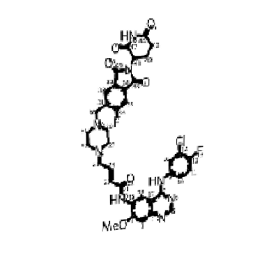 COc1cc2ncnc(Nc3ccc(F)c(Cl)c3)c2cc1NC(=O)/C=C/CN1CCN(Cc2cc3c(cc2F)C(=O)N(C2CCC(=O)NC2=O)C3=O)CC1